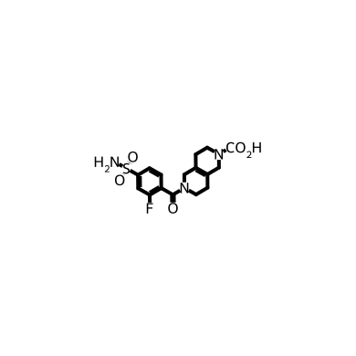 NS(=O)(=O)c1ccc(C(=O)N2CCC3=C(CCN(C(=O)O)C3)C2)c(F)c1